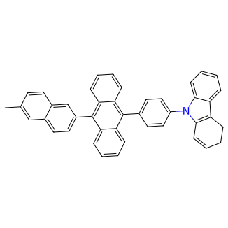 Cc1ccc2cc(-c3c4ccccc4c(-c4ccc(-n5c6c(c7ccccc75)CCC=C6)cc4)c4ccccc34)ccc2c1